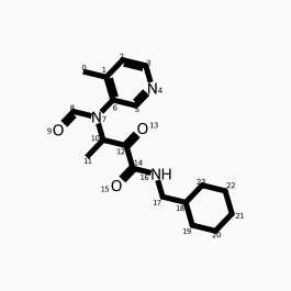 Cc1ccncc1N(C=O)C(C)C(=O)C(=O)NCC1CCCCC1